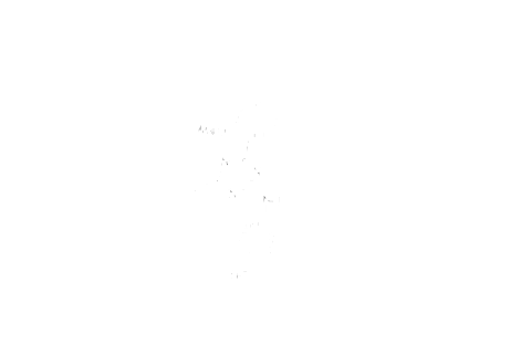 COc1ccccc1-c1nc(Cl)nc(Nc2ccc(O)cc2)n1